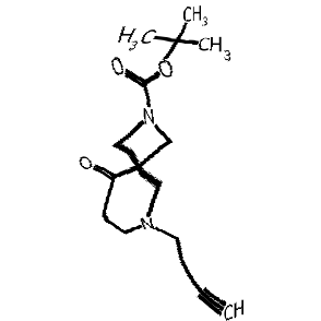 C#CCCN1CCC(=O)C2(C1)CN(C(=O)OC(C)(C)C)C2